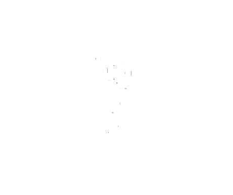 Cc1cc(Cl)ccc1OCC(=O)NC(O)C(Cl)(Cl)CCl